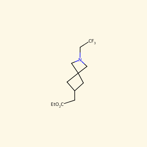 CCOC(=O)CC1CC2(C1)CN(CC(F)(F)F)C2